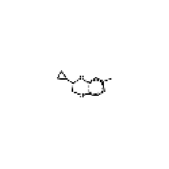 Cc1ccc2c(c1)OC(C1CC1)CO2